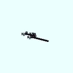 CCCCCCCCCCCCCCCCC(CCN)C(=O)C(CCCCCCCC(N)=O)C(N)=O